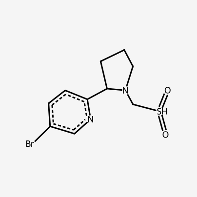 O=[SH](=O)CN1CCCC1c1ccc(Br)cn1